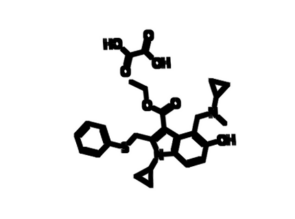 CCOC(=O)c1c(CSc2ccccc2)n(C2CC2)c2ccc(O)c(CN(C)C3CC3)c12.O=C(O)C(=O)O